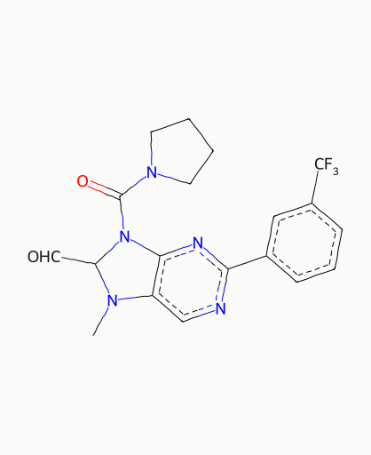 CN1c2cnc(-c3cccc(C(F)(F)F)c3)nc2N(C(=O)N2CCCC2)C1C=O